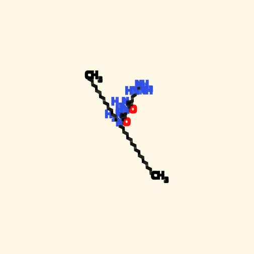 CCCCCCCCCCCCCCCCCCN(CCCCCCCCCCCCCCCC)C(=O)[C@@H](N)CNC(=O)[C@@H](N)CCCNC(=N)N